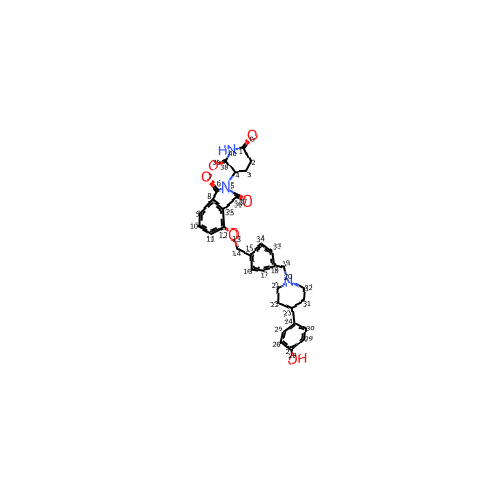 O=C1CCC(N2C(=O)c3cccc(OCc4ccc(CN5CCC(c6ccc(O)cc6)CC5)cc4)c3C2=O)C(=O)N1